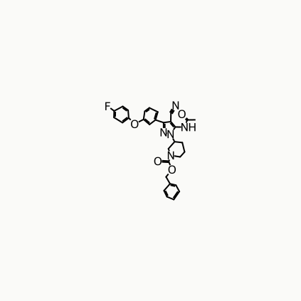 CC(=O)Nc1c(C#N)c(-c2cccc(Oc3ccc(F)cc3)c2)nn1C1CCCN(C(=O)OCc2ccccc2)C1